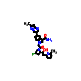 Cc1cccc(CC(O)[C@H]2C[C@@H](F)CN2C(=O)Cn2cc(C(N)=O)c3cc(-c4cnc5cc(C)nn5c4)ccc32)n1